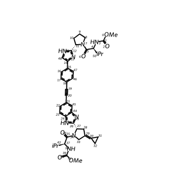 COC(=O)N[C@H](C(=O)N1CCC[C@H]1c1nc(-c2ccc(C#Cc3ccc4[nH]c([C@@H]5CC(=C6CC6)CN5C(=O)[C@@H](NC(=O)OC)C(C)C)nc4c3)cc2)c[nH]1)C(C)C